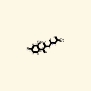 C=C(/C=C(\C)CC(=C)C(=C)c1ccc(F)cc1C(C)C)CC